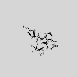 Cn1cnc(S(=O)(=O)n2cc3c4c(cccc42)CNCC3)c1.O=C(O)C(F)(F)F